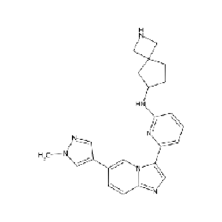 Cn1cc(-c2ccc3ncc(-c4cccc(NC5CCC6(CNC6)C5)n4)n3c2)cn1